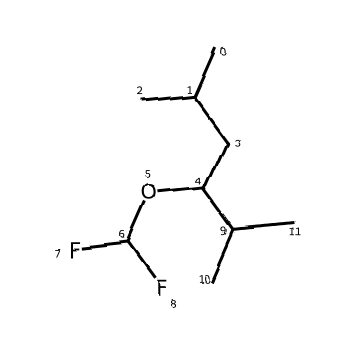 CC(C)CC(OC(F)F)C(C)C